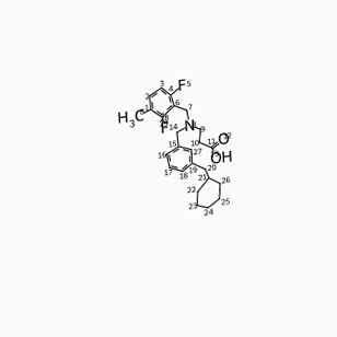 Cc1ccc(F)c(CN(CCC(=O)O)Cc2cccc(CC3CCCCC3)c2)c1F